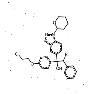 CCC(c1ccccc1)C(O)(c1ccc(OCCCl)cc1)c1ccc2c(cnn2C2CCCCO2)c1